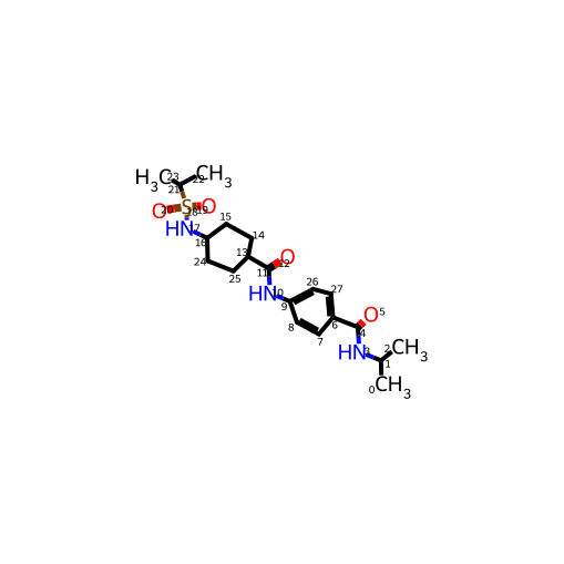 CC(C)NC(=O)c1ccc(NC(=O)C2CCC(NS(=O)(=O)C(C)C)CC2)cc1